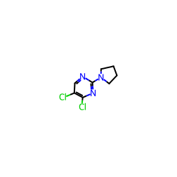 Clc1cnc(N2CCCC2)nc1Cl